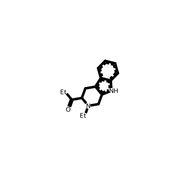 CCC(=O)C1Cc2c([nH]c3ccccc23)CN1CC